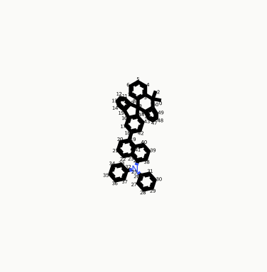 CC1(C)c2ccccc2C2(c3ccccc3-c3cc(-c4cccc5c(N(c6ccccc6)c6ccccc6)cccc45)ccc32)c2ccccc21